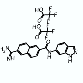 N=C(N)c1ccc2cc(C(=O)Nc3ccc4cn[nH]c4c3)ccc2c1.O=C(O)C(F)(F)F.O=C(O)C(F)(F)F